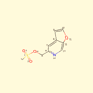 CS(=O)(=O)OCc1cc2ccoc2cn1